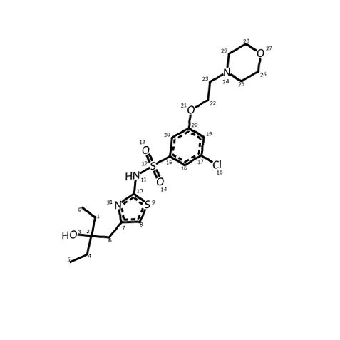 CCC(O)(CC)Cc1csc(NS(=O)(=O)c2cc(Cl)cc(OCCN3CCOCC3)c2)n1